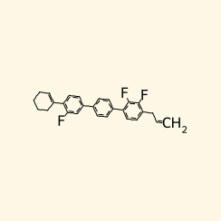 C=CCc1ccc(-c2ccc(-c3ccc(C4=CCCCC4)c(F)c3)cc2)c(F)c1F